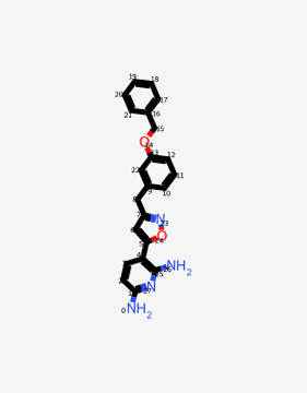 Nc1ccc(-c2cc(Cc3cccc(OCc4ccccc4)c3)no2)c(N)n1